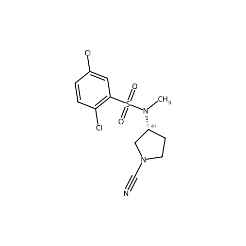 CN([C@@H]1CCN(C#N)C1)S(=O)(=O)c1cc(Cl)ccc1Cl